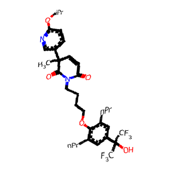 CCCc1cc(C(O)(C(F)(F)F)C(F)(F)F)cc(CCC)c1OCCCCN1C(=O)C=CC(C)(c2ccc(OC(C)C)nc2)C1=O